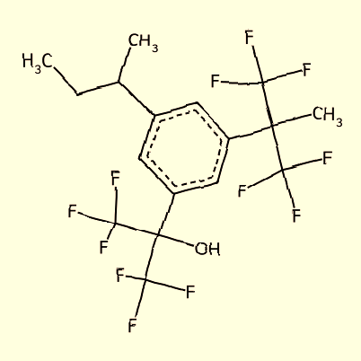 CCC(C)c1cc(C(C)(C(F)(F)F)C(F)(F)F)cc(C(O)(C(F)(F)F)C(F)(F)F)c1